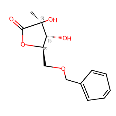 C[C@@]1(O)C(=O)O[C@H](COCc2ccccc2)[C@H]1O